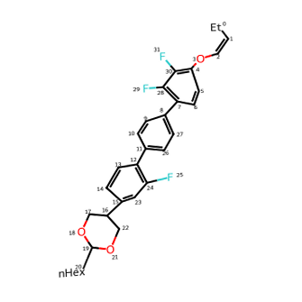 CC/C=C\Oc1ccc(-c2ccc(-c3ccc(C4COC(CCCCCC)OC4)cc3F)cc2)c(F)c1F